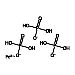 O=P([O-])(O)O.O=P([O-])(O)O.O=P([O-])(O)O.[Fe+3]